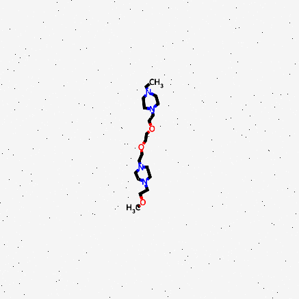 CCN1CCN(CCOCCOCCN2CCN(CCOC)CC2)CC1